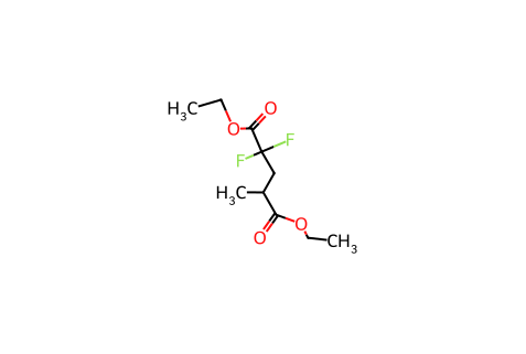 CCOC(=O)C(C)CC(F)(F)C(=O)OCC